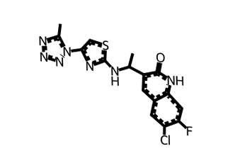 Cc1nnnn1-c1csc(NC(C)c2cc3cc(Cl)c(F)cc3[nH]c2=O)n1